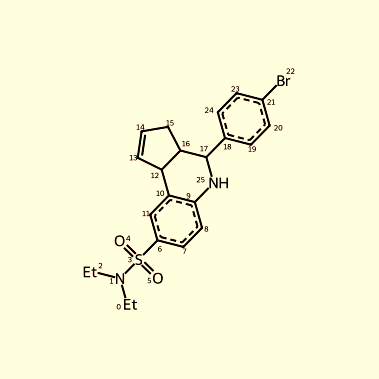 CCN(CC)S(=O)(=O)c1ccc2c(c1)C1C=CCC1C(c1ccc(Br)cc1)N2